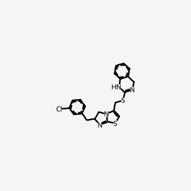 Clc1cccc(CC2CN3C(CSC4=NCc5ccccc5N4)=CSC3=N2)c1